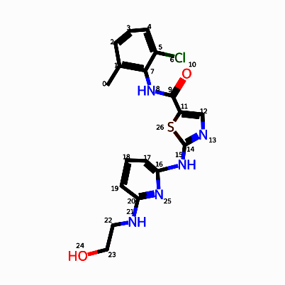 Cc1cccc(Cl)c1NC(=O)c1cnc(Nc2cccc(NCCO)n2)s1